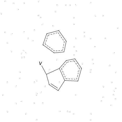 [V][CH]1C=Cc2ccccc21.c1ccccc1